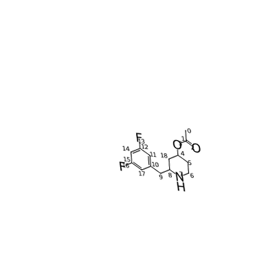 CC(=O)OC1CCNC(Cc2cc(F)cc(F)c2)C1